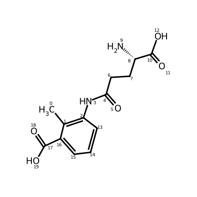 Cc1c(NC(=O)CC[C@H](N)C(=O)O)cccc1C(=O)O